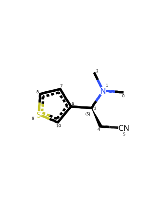 CN(C)[C@@H](CC#N)c1ccsc1